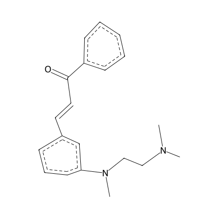 CN(C)CCN(C)c1cccc(/C=C/C(=O)c2ccccc2)c1